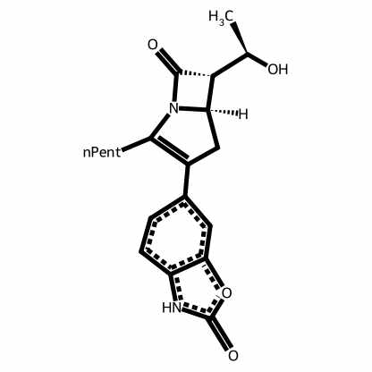 CCCCCC1=C(c2ccc3[nH]c(=O)oc3c2)C[C@@H]2[C@@H]([C@@H](C)O)C(=O)N12